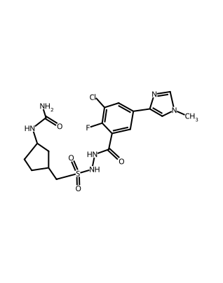 Cn1cnc(-c2cc(Cl)c(F)c(C(=O)NNS(=O)(=O)CC3CCC(NC(N)=O)C3)c2)c1